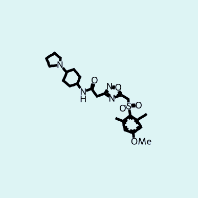 COc1cc(C)c(S(=O)(=O)Cc2nc(CC(=O)NC3CCC(N4CCCC4)CC3)no2)c(C)c1